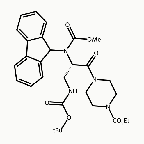 CCOC(=O)N1CCN(C(=O)[C@H](CNC(=O)OC(C)(C)C)N(C(=O)OC)C2c3ccccc3-c3ccccc32)CC1